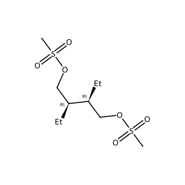 CC[C@@H](COS(C)(=O)=O)[C@@H](CC)COS(C)(=O)=O